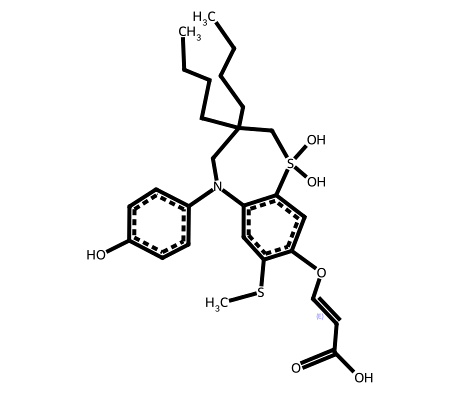 CCCCC1(CCCC)CN(c2ccc(O)cc2)c2cc(SC)c(O/C=C/C(=O)O)cc2S(O)(O)C1